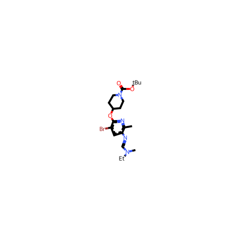 CCN(C)/C=N/c1cc(Br)c(OC2CCN(C(=O)OC(C)(C)C)CC2)nc1C